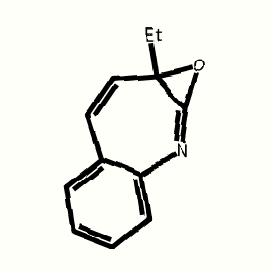 CCC12C=Cc3ccccc3N=C1O2